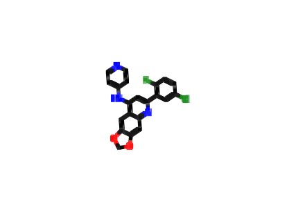 Fc1ccc(Cl)cc1-c1cc(Nc2ccncc2)c2cc3c(cc2n1)OCO3